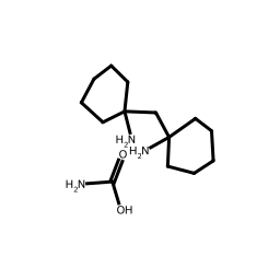 NC(=O)O.NC1(CC2(N)CCCCC2)CCCCC1